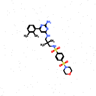 Cc1cccc(-c2cc(NCC(C)(C)CNS(=O)(=O)c3ccc(S(=O)(=O)N4CCOCC4)cc3)nc(N)n2)c1C